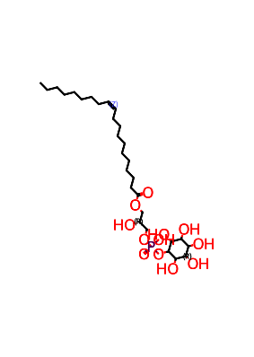 CCCCCCCC/C=C\CCCCCCCCCC(=O)OC[C@@H](O)COP(=O)(O)OC1C(O)C(O)C(O)[C@@H](O)C1O